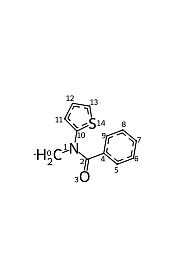 [CH2]N(C(=O)c1ccccc1)c1cccs1